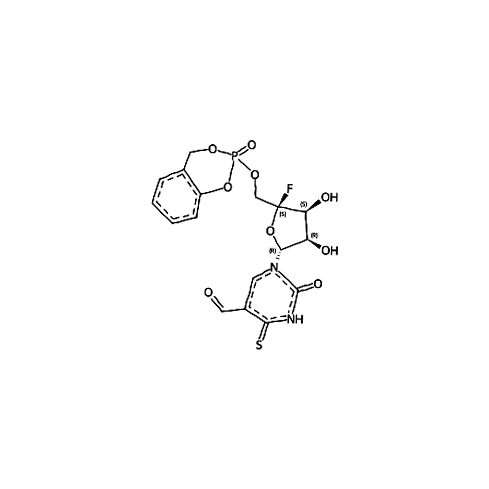 O=Cc1cn([C@@H]2O[C@](F)(COP3(=O)OCc4ccccc4O3)[C@@H](O)[C@H]2O)c(=O)[nH]c1=S